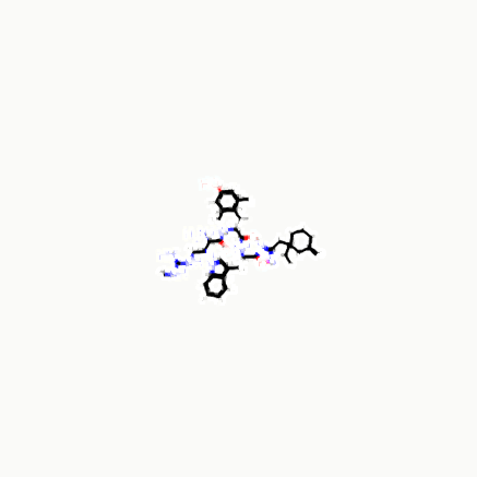 C=C1CCCC(CC)(Cc2noc([C@H](Cc3c[nH]c4ccccc34)NC(=O)[C@H](Cc3c(C)cc(O)cc3C)NC(=O)[C@H](N)CCNC(=N)NC)n2)C1